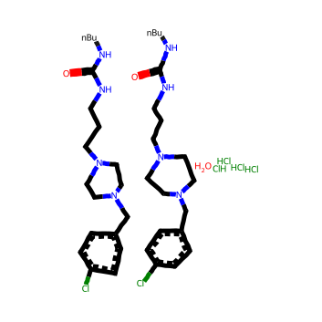 CCCCNC(=O)NCCCN1CCN(Cc2ccc(Cl)cc2)CC1.CCCCNC(=O)NCCCN1CCN(Cc2ccc(Cl)cc2)CC1.Cl.Cl.Cl.Cl.O